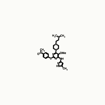 COc1c(Nc2cc(C)[nH]n2)nc(Sc2ccc([S+](C)[O-])cc2)nc1N1CCN(CCN(C)C)CC1